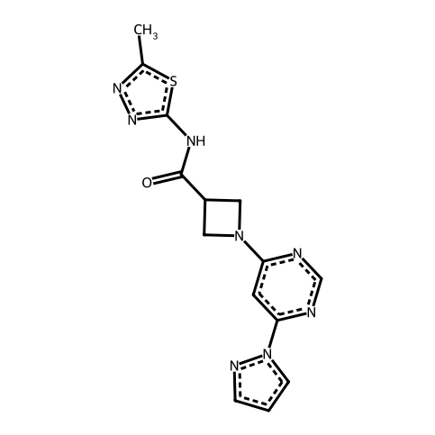 Cc1nnc(NC(=O)C2CN(c3cc(-n4cccn4)ncn3)C2)s1